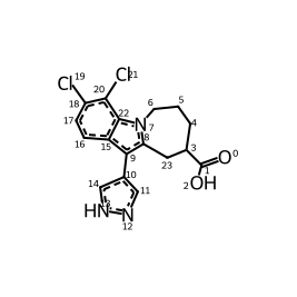 O=C(O)C1CCCn2c(c(-c3cn[nH]c3)c3ccc(Cl)c(Cl)c32)C1